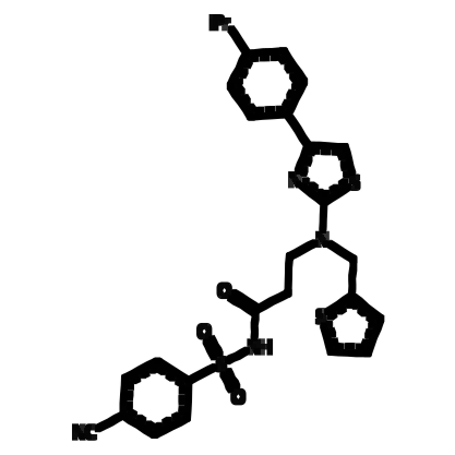 CC(C)c1ccc(-c2csc(N(CCC(=O)NS(=O)(=O)c3ccc(C#N)cc3)Cc3cccs3)n2)cc1